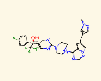 Cn1cc(-c2cc3c(N4CCN(c5ncc([C@@](O)(c6ccc(F)cc6)C(F)(F)F)cn5)CC4)ncnn3c2)cn1